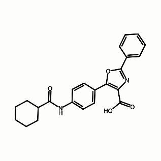 O=C(O)c1nc(-c2ccccc2)oc1-c1ccc(NC(=O)C2CCCCC2)cc1